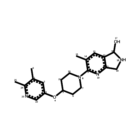 Cc1cc(OC2CCN(c3nc4c(cc3C)C(O)NC4)CC2)cnc1C